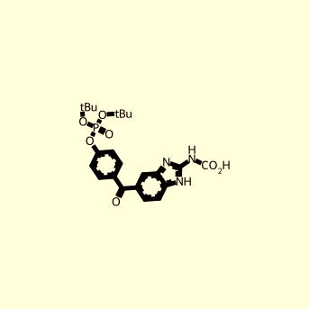 CC(C)(C)OP(=O)(Oc1ccc(C(=O)c2ccc3[nH]c(NC(=O)O)nc3c2)cc1)OC(C)(C)C